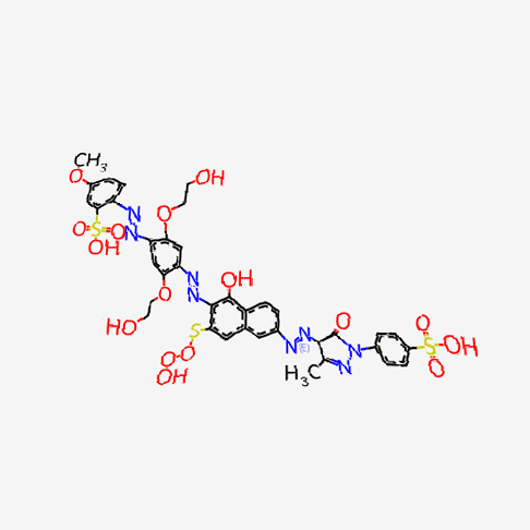 COc1ccc(N=Nc2cc(OCCO)c(N=Nc3c(SOOO)cc4cc(/N=N/C5C(=O)N(c6ccc(S(=O)(=O)O)cc6)N=C5C)ccc4c3O)cc2OCCO)c(S(=O)(=O)O)c1